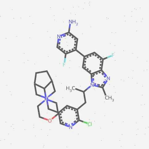 Cc1nc2c(F)cc(-c3cc(N)ncc3F)cc2n1C(C)Cc1cc(CN2CC3CCC(C2)C3N2CCOCC2)cnc1Cl